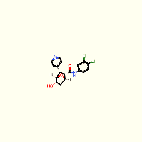 O=C(Nc1ccc(Cl)c(Cl)c1)[C@H]1[C@@H](c2ccncc2)[C@H]2O[C@@H]1C[C@@H]2O